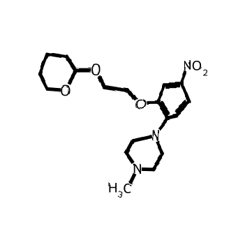 CN1CCN(c2ccc([N+](=O)[O-])cc2OCCOC2CCCCO2)CC1